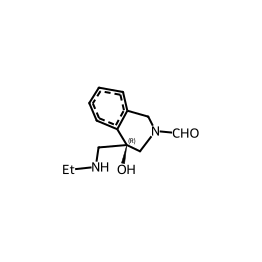 CCNC[C@@]1(O)CN(C=O)Cc2ccccc21